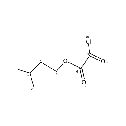 CC(C)CCOC(=O)C(=O)Cl